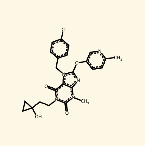 Cc1ccc(Oc2nc3c(c(=O)n(CCC4(O)CC4)c(=O)n3C)n2Cc2ccc(Cl)cc2)cn1